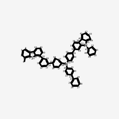 Cc1cccc2c1sc1c(-c3cccc(-c4ccc(N(c5ccc(-c6ccccc6)cc5)c5ccc(-c6ccc7c8ccccc8n(-c8ccccc8)c7c6)cc5)cc4)c3)cccc12